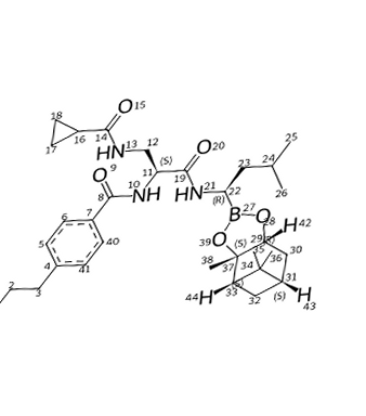 CCCCc1ccc(C(=O)N[C@@H](CNC(=O)C2CC2)C(=O)N[C@@H](CC(C)C)B2O[C@@H]3C[C@@H]4C[C@@H](C4(C)C)[C@]3(C)O2)cc1